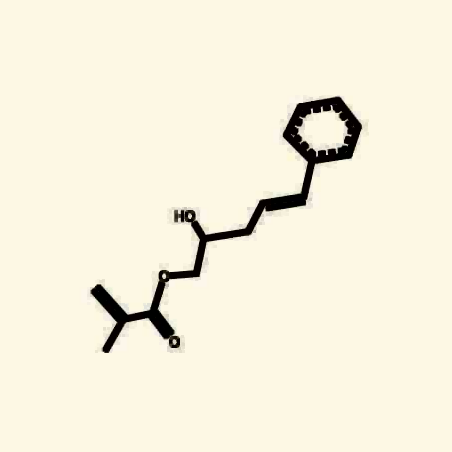 C=C(C)C(=O)OCC(O)CC=Cc1ccccc1